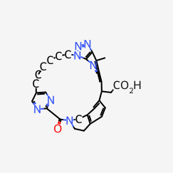 Cc1c2cnc3c1nnn3CCCCCCc1cnc(nc1)C(=O)N1CCc3ccc(cc3C1)C2CC(=O)O